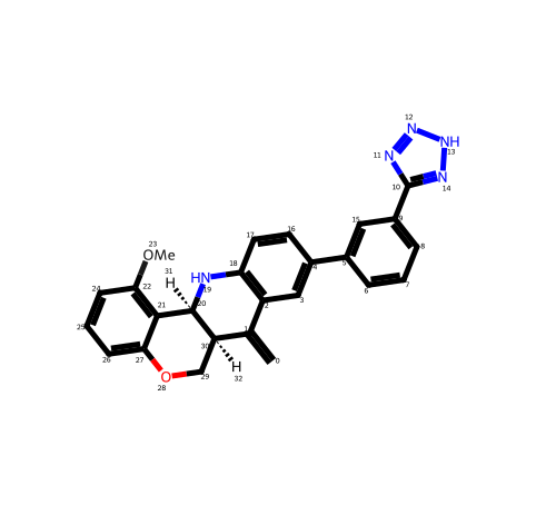 C=C1c2cc(-c3cccc(-c4nn[nH]n4)c3)ccc2N[C@@H]2c3c(OC)cccc3OC[C@H]12